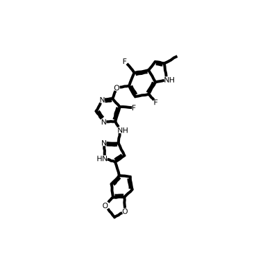 Cc1cc2c(F)c(Oc3ncnc(Nc4cc(-c5ccc6c(c5)OCO6)[nH]n4)c3F)cc(F)c2[nH]1